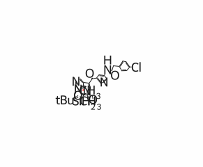 CC(C)(C)[SiH2]OC(C)(C)C1(n2cc(C(=O)c3cncc(NC(=O)Cc4ccc(Cl)cc4)c3)c3cncnc32)COC1